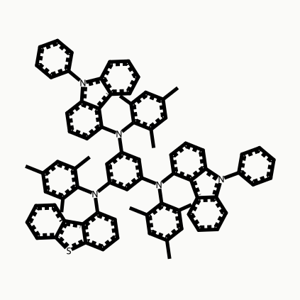 Cc1cc(C)c(N(c2cc(N(c3c(C)cc(C)cc3C)c3cccc4c3c3ccccc3n4-c3ccccc3)cc(N(c3c(C)cc(C)cc3C)c3cccc4c3c3ccccc3n4-c3ccccc3)c2)c2cccc3sc4ccccc4c23)c(C)c1